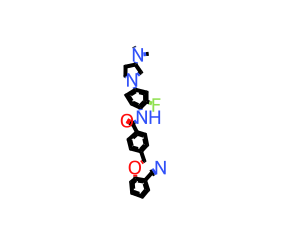 CN(C)C1CCN(c2ccc(NC(=O)c3ccc(COc4ccccc4C#N)cc3)c(F)c2)C1